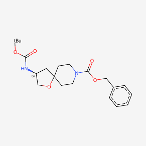 CC(C)(C)OC(=O)N[C@@H]1COC2(CCN(C(=O)OCc3ccccc3)CC2)C1